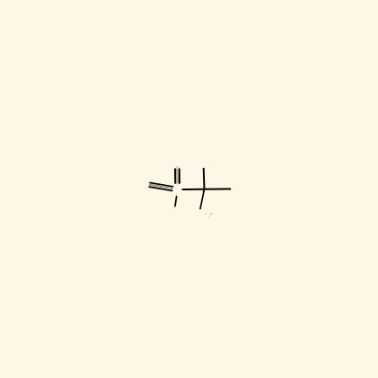 COC(F)(C(F)(F)F)S(=O)(=O)F